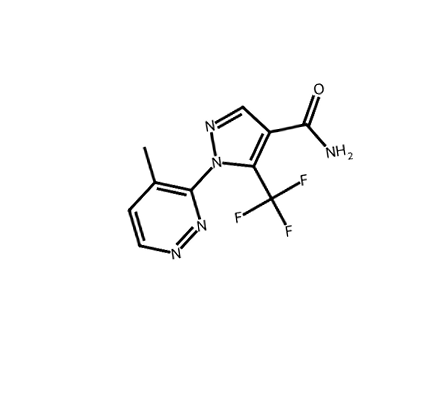 Cc1ccnnc1-n1ncc(C(N)=O)c1C(F)(F)F